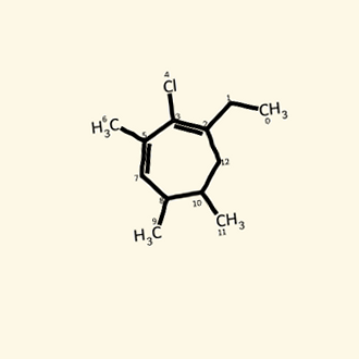 CCC1=C(Cl)C(C)=CC(C)C(C)C1